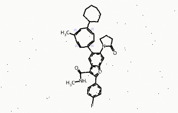 CNC(=O)c1c(-c2ccc(F)cc2)oc2cc(N3CCCC3=O)c(C3=C/C=C(C4CCCCCC4)\C=C(C)/C=C\3)cc12